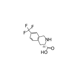 O=C(O)[C@@H]1Cc2ccc(C(F)(F)F)cc2CN1